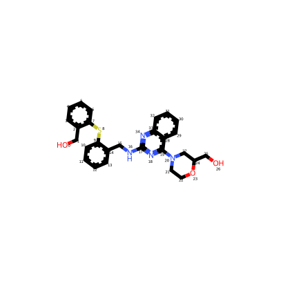 OCc1ccccc1Sc1ccccc1CNc1nc(N2CCOC(CO)C2)c2ccccc2n1